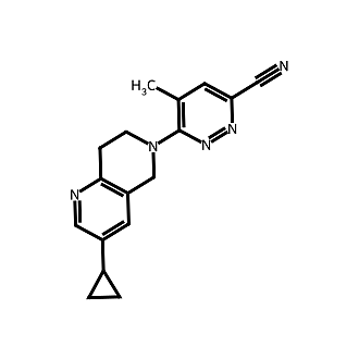 Cc1cc(C#N)nnc1N1CCc2ncc(C3CC3)cc2C1